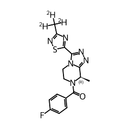 [2H]C([2H])([2H])c1nsc(-c2nnc3n2CCN(C(=O)c2ccc(F)cc2)[C@@H]3C)n1